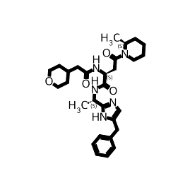 C[C@H](NC(=O)[C@H](CC(=O)N1CCCC[C@@H]1C)NC(=O)CC1CCOCC1)c1ncc(Cc2ccccc2)[nH]1